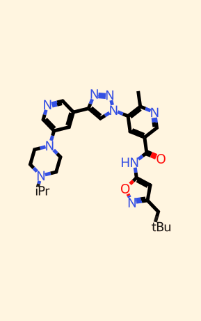 Cc1ncc(C(=O)Nc2cc(CC(C)(C)C)no2)cc1-n1cc(-c2cncc(N3CCN(C(C)C)CC3)c2)nn1